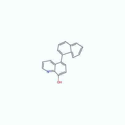 Oc1ccc(-c2cccc3ccccc23)c2cccnc12